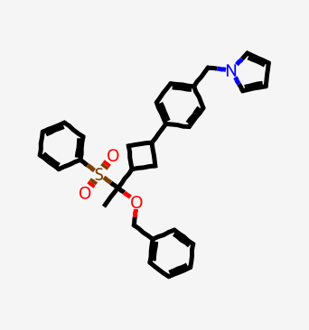 CC(OCc1ccccc1)(C1CC(c2ccc(Cn3cccc3)cc2)C1)S(=O)(=O)c1ccccc1